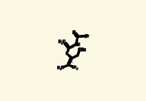 C=C(NC(=O)C(C)C)S/C(COC(C)=O)=C(\C)C(F)(F)F